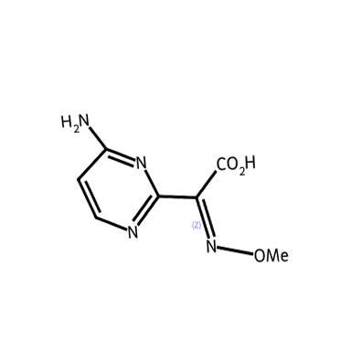 CO/N=C(\C(=O)O)c1nccc(N)n1